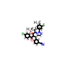 Cc1ccc(C2=NCCN2C(c2oc3cc(F)ccc3c(=O)c2Cc2cccc(C#N)c2)C(C)C)cc1F